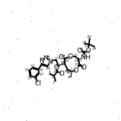 CC(C)C(=O)O[C@H]1[C@H](C)OC(=O)[C@@H](NC(=O)OC(C)(C)C)COC(=O)[C@@H]1CCn1cc(-c2cccc(Cl)c2)nn1